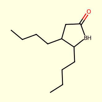 CCCCC1BC(=O)CC1CCCC